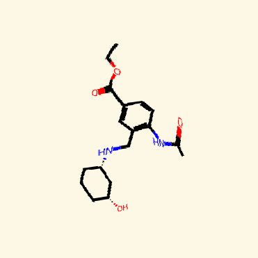 CCOC(=O)c1ccc(NC(C)=O)c(CN[C@H]2CCC[C@@H](O)C2)c1